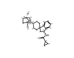 O=C(N[C@H]1CC2(CCN([C@@H]3C[C@@H]4CC[C@@H]3C4)CC2)c2ccccc21)C1CC1